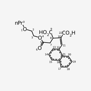 CCCOCCOC(=O)CC(C(=O)O)C(=Cc1cccc2ccccc12)C(=O)O